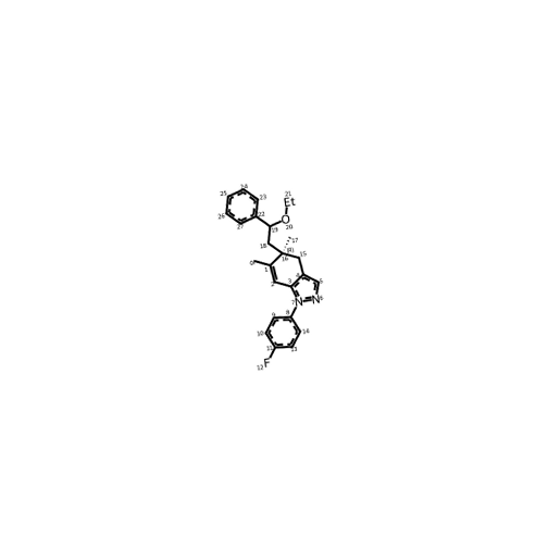 [CH2]C1=Cc2c(cnn2-c2ccc(F)cc2)C[C@]1(C)CC(OCC)c1ccccc1